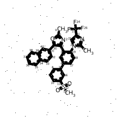 Cc1nc(-c2cc(-c3cccc(S(C)(=O)=O)c3)ccc2-n2cc(C(F)(F)F)nc2C)c(-c2ccc3ccccc3c2)o1